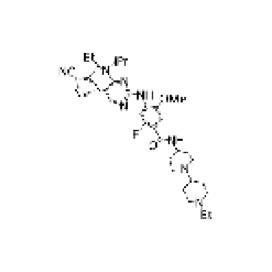 CC[C@@H]1c2c(C#N)ncn2-c2cnc(Nc3cc(F)c(C(=O)NC4CCN(C5CCN(CC)CC5)CC4)cc3OC)nc2N1C(C)C